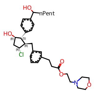 CCCCCC(O)c1ccc([C@@H]2[C@@H](Cc3cccc(CCC(=O)OCCN4CCOCC4)c3)[C@H](Cl)C[C@H]2O)cc1